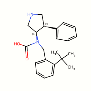 CC(C)(C)c1ccccc1CN(C(=O)O)[C@H]1CNC[C@H]1c1ccccc1